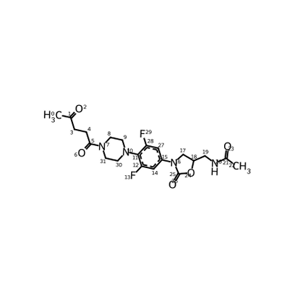 CC(=O)CCC(=O)N1CCN(c2c(F)cc(N3CC(CNC(C)=O)OC3=O)cc2F)CC1